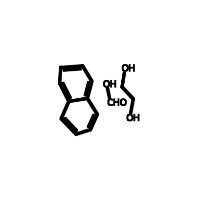 O=CO.OCCO.c1ccc2ccccc2c1